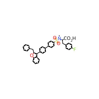 CN(C(Cc1ccc(F)cc1)C(=O)O)S(=O)(=O)c1ccc(-c2ccc(-c3c(Cc4ccccc4)oc4ccccc34)cc2)cc1